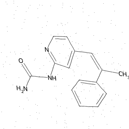 CC(=Cc1ccnc(NC(N)=O)c1)c1ccccc1